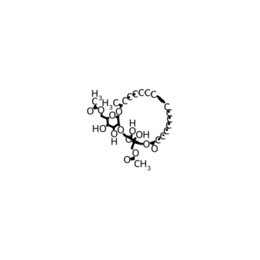 CC(=O)OCC1OC2OC(C)CCCCCC/C=C\CCCCCCCC(=O)OC3C(COC(C)=O)OC(OC2C(O)C1O)C(O)C3O